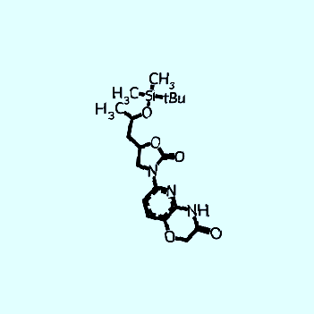 CC(CC1CN(c2ccc3c(n2)NC(=O)CO3)C(=O)O1)O[Si](C)(C)C(C)(C)C